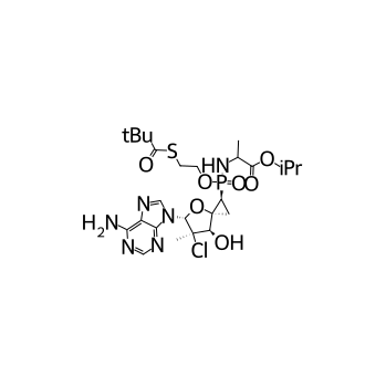 CC(C)OC(=O)C(C)NP(=O)(OCCSC(=O)C(C)(C)C)[C@H]1C[C@]12O[C@@H](n1cnc3c(N)ncnc31)[C@](C)(Cl)[C@@H]2O